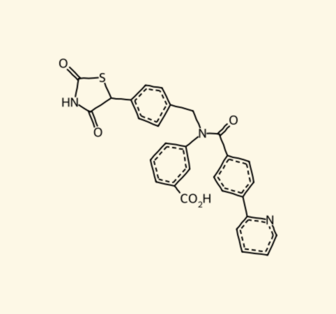 O=C1NC(=O)C(c2ccc(CN(C(=O)c3ccc(-c4ccccn4)cc3)c3cccc(C(=O)O)c3)cc2)S1